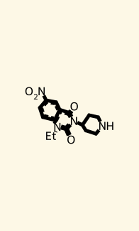 CCn1c(=O)n(C2CCNCC2)c(=O)c2cc([N+](=O)[O-])ccc21